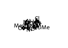 COc1ncnc(OC)c1-n1c(NS(=O)(=O)C(C)C(OC)c2ncc(Cl)cn2)nnc1C1CC(=O)C1